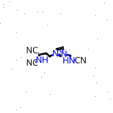 N#CNCn1cc[n+](CCC(C#N)NC#N)c1